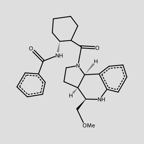 COC[C@@H]1Nc2ccccc2[C@H]2[C@@H]1CCN2C(=O)C1CCCC[C@H]1NC(=O)c1ccccc1